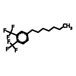 CCCCCCCc1ccc(C(F)(F)F)c(C(F)(F)F)c1